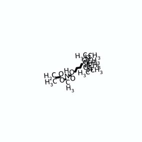 C=C(C)C(=O)OC(C)NC(=O)OCCCC[Si](C)(O[Si](C)(C)C)O[Si](C)(C)C